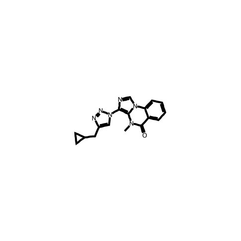 Cn1c(=O)c2ccccc2n2cnc(-n3cc(CC4CC4)nn3)c12